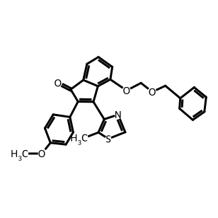 COc1ccc(C2=C(c3ncsc3C)c3c(OCOCc4ccccc4)cccc3C2=O)cc1